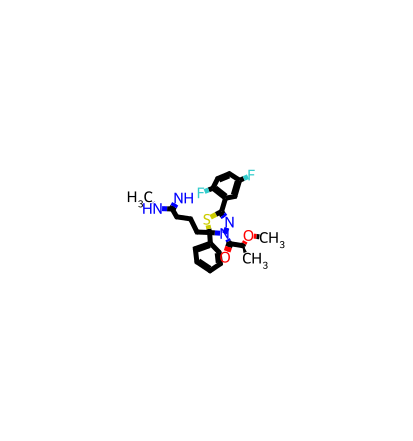 CNC(=N)CCCC1(c2ccccc2)SC(c2cc(F)ccc2F)=NN1C(=O)[C@H](C)OC